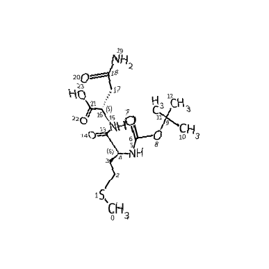 CSCC[C@H](NC(=O)OC(C)(C)C)C(=O)N[C@@H](CC(N)=O)C(=O)O